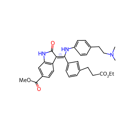 CCOC(=O)CCc1cccc(/C(Nc2ccc(CCN(C)C)cc2)=C2/C(=O)Nc3cc(C(=O)OC)ccc32)c1